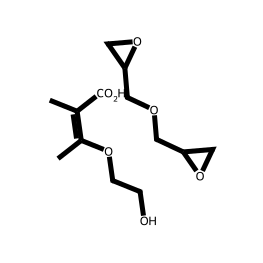 C(OCC1CO1)C1CO1.CC(OCCO)=C(C)C(=O)O